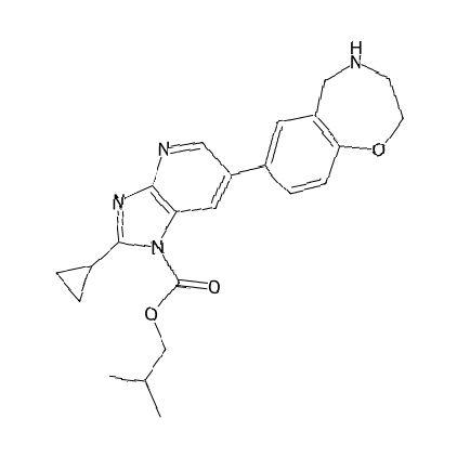 CC(C)COC(=O)n1c(C2CC2)nc2ncc(-c3ccc4c(c3)CNCCO4)cc21